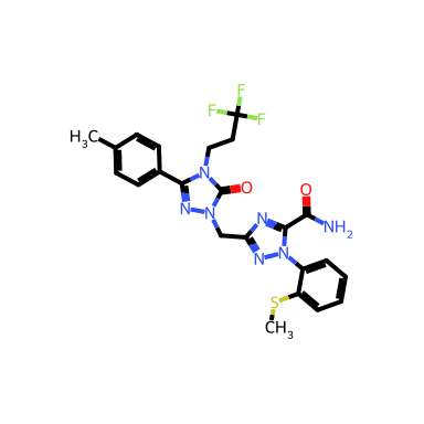 CSc1ccccc1-n1nc(Cn2nc(-c3ccc(C)cc3)n(CCC(F)(F)F)c2=O)nc1C(N)=O